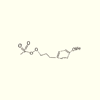 COc1ccc(CCCOOS(C)(=O)=O)cc1